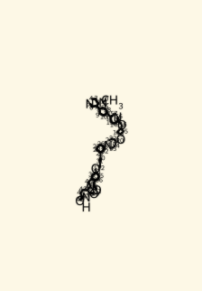 Cn1c2ccncc2c2ccc(-c3ccc(OC4CC(OC5CCN(c6cccc(C#CCOc7ccc8c(c7)CN(C7CCC(=O)NC7=O)C8=O)c6)CC5)C4)nc3)cc21